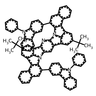 CC(C)(C)c1cc2c3nc4c(cc3n3c5c(-c6ccc7c(c6)c6ccccc6n7-c6ccccc6)cc6ccccc6c5c(c1)c23)c1cc(C(C)(C)C)cc2c3c5ccccc5cc(-c5ccc6c(c5)c5ccccc5n6-c5ccccc5)c3n4c12